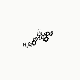 COc1ccc(CNC(=O)C(C)CC(=O)N2CCc3sccc3C2c2ccccc2)cc1